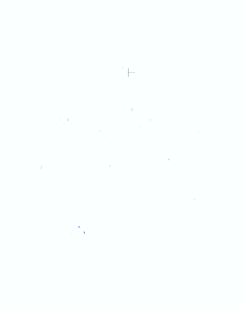 COC(=O)c1c(C(Cl)(Cl)Cl)ccnc1Cl